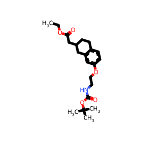 CCOC(=O)CC1CCc2ccc(OCCNC(=O)OC(C)(C)C)cc2C1